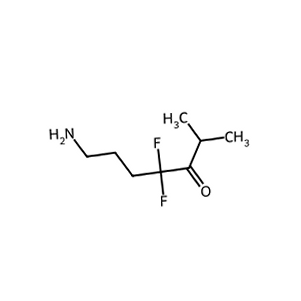 CC(C)C(=O)C(F)(F)CCCN